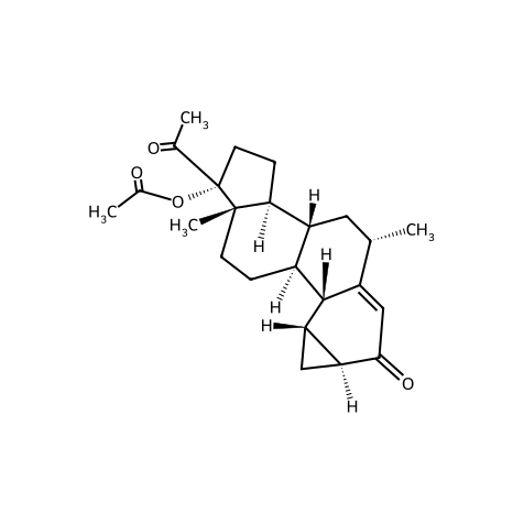 CC(=O)O[C@]1(C(C)=O)CC[C@H]2[C@@H]3C[C@H](C)C4=CC(=O)[C@H]5C[C@@H]5[C@@H]4[C@H]3CC[C@@]21C